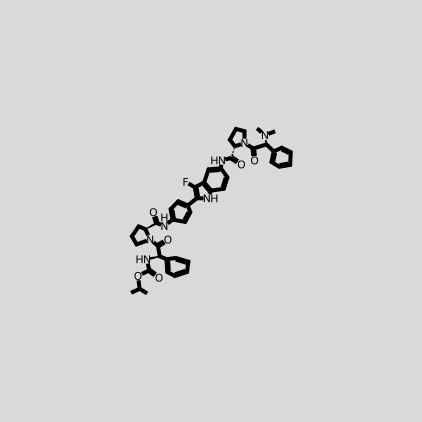 CC(C)OC(=O)N[C@@H](C(=O)N1CCC[C@H]1C(=O)Nc1ccc(-c2[nH]c3ccc(NC(=O)[C@@H]4CCCN4C(=O)[C@@H](c4ccccc4)N(C)C)cc3c2F)cc1)c1ccccc1